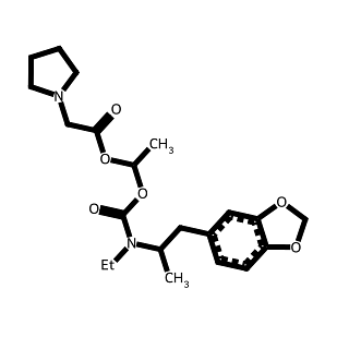 CCN(C(=O)OC(C)OC(=O)CN1CCCC1)C(C)Cc1ccc2c(c1)OCO2